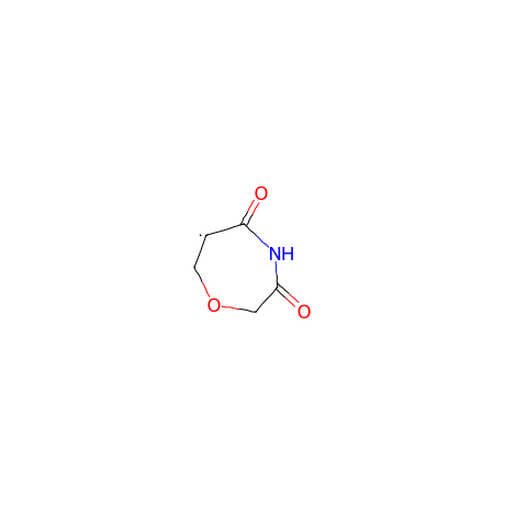 O=C1[CH]COCC(=O)N1